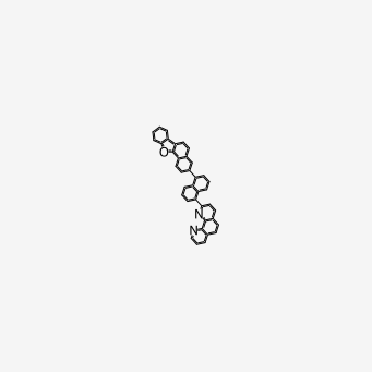 c1cnc2c(c1)ccc1ccc(-c3cccc4c(-c5ccc6c(ccc7c8ccccc8oc67)c5)cccc34)nc12